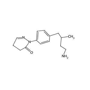 CC(CCN)Cc1ccc(N2N=CCCC2=O)cc1